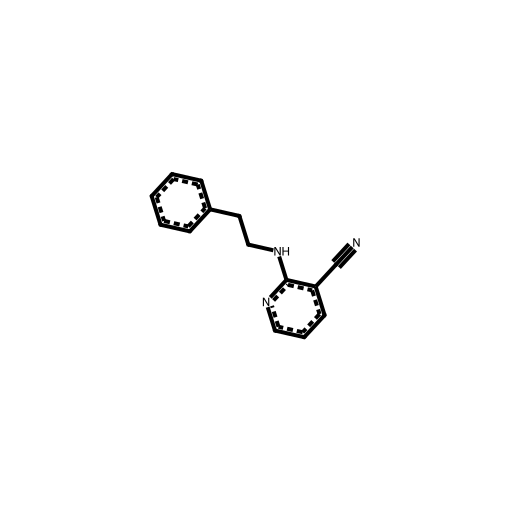 N#Cc1cccnc1NCCc1ccccc1